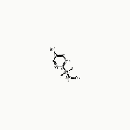 C[N+](C)([SH]=O)c1ncc(Br)cn1